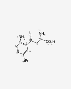 CC(C)c1ccc(N)c(C(=O)CC(N)C(=O)O)c1